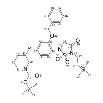 CC(C)(C)OC(=O)N1CCCC(Cc2ccc(N3CC(=O)N(CC[Si](C)(C)C)S3(=O)=O)c(OCc3ccccc3)c2)C1